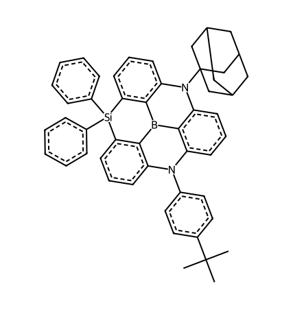 CC(C)(C)c1ccc(N2c3cccc4c3B3c5c2cccc5[Si](c2ccccc2)(c2ccccc2)c2cccc(c23)N4C23CC4CC(CC(C4)C2)C3)cc1